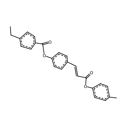 CCc1ccc(C(=O)Oc2ccc(C=CC(=O)Oc3ccc(C)cc3)cc2)cc1